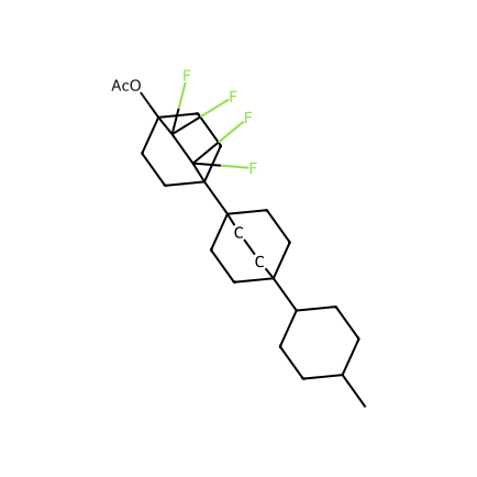 CC(=O)OC12CCC(C34CCC(C5CCC(C)CC5)(CC3)CC4)(CC1)C(F)(F)C2(F)F